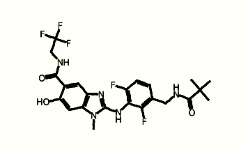 Cn1c(Nc2c(F)ccc(CNC(=O)C(C)(C)C)c2F)nc2cc(C(=O)NCC(F)(F)F)c(O)cc21